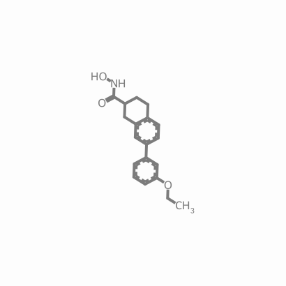 CCOc1cccc(-c2ccc3c(c2)CC(C(=O)NO)CC3)c1